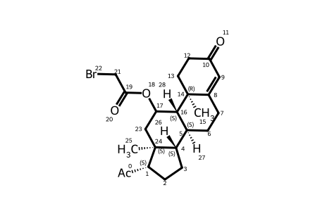 CC(=O)[C@H]1CC[C@H]2[C@@H]3CCC4=CC(=O)CC[C@]4(C)[C@H]3C(OC(=O)CBr)C[C@]12C